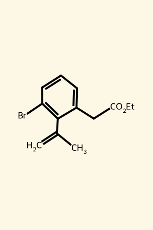 C=C(C)c1c(Br)cccc1CC(=O)OCC